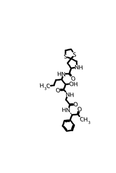 CCCC(NC(=O)C1CC2(CN1)SCCS2)C(O)C(=O)NCC(=O)N[C@H](C(C)=O)c1ccccc1